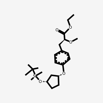 CCOC(=O)[C@H](Cc1ccc(O[C@@H]2CC[C@H](O[Si](C)(C)C(C)(C)C)C2)cc1)OC